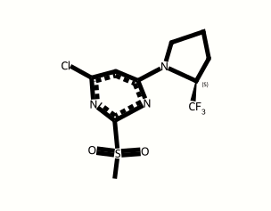 CS(=O)(=O)c1nc(Cl)cc(N2CCC[C@H]2C(F)(F)F)n1